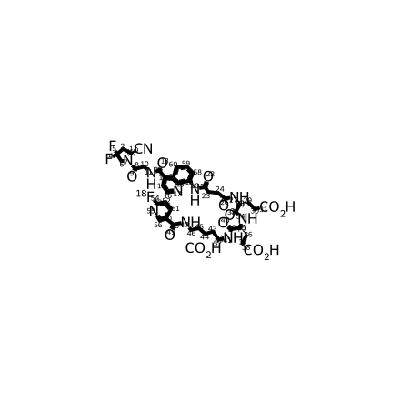 N#C[C@@H]1CC(F)(F)CN1C(=O)CNC(=O)c1ccnc2c(NC(=O)CCC(=O)N[C@H](CCC(=O)O)C(=O)N[C@H](CCC(=O)O)C(=O)N[C@@H](CCCCNC(=O)c3ccc([18F])nc3)C(=O)O)cccc12